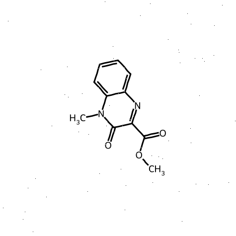 COC(=O)c1nc2ccccc2n(C)c1=O